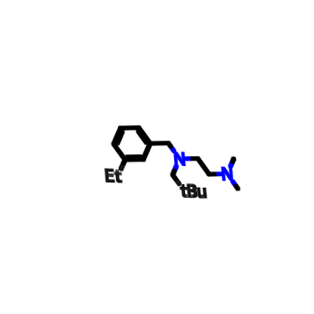 CCc1cccc(CN(CCN(C)C)CC(C)(C)C)c1